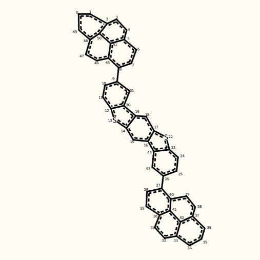 c1cc2ccc3ccc(-c4ccc5sc6cc7c(cc6c5c4)sc4ccc(-c5ccc6ccc8cccc9ccc5c6c89)cc47)c4ccc(c1)c2c34